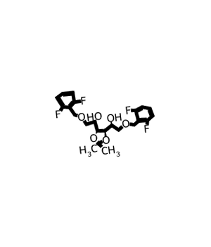 CC1(C)O[C@H]([C@H](O)COCc2c(F)cccc2F)[C@@H]([C@H](O)COCc2c(F)cccc2F)O1